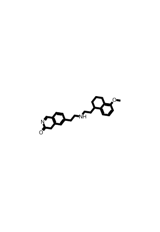 COc1cccc2c1CCCC2CCNCCc1ccc2c(c1)CC(=O)N=C2